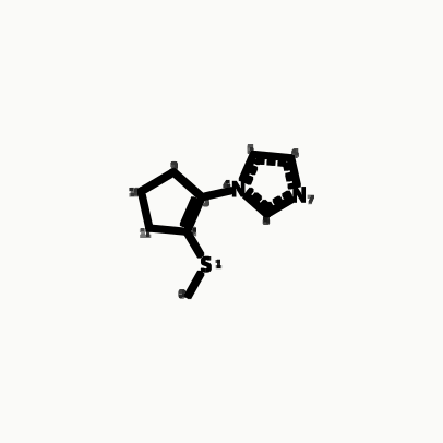 CSC1=C(n2ccnc2)CCC1